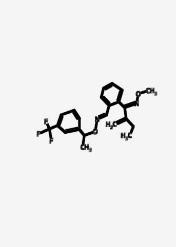 C=C(CC)/C(=N/OC)c1ccccc1/C=N/OC(C)c1cccc(C(F)(F)F)c1